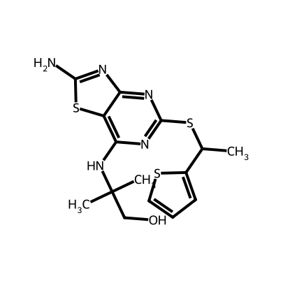 CC(Sc1nc(NC(C)(C)CO)c2sc(N)nc2n1)c1cccs1